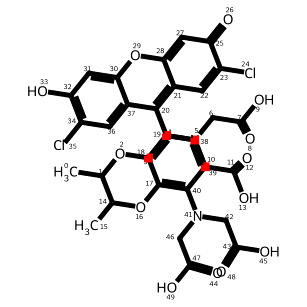 CC(OCCN(CC(=O)O)CC(=O)O)C(C)Oc1cc(-c2c3cc(Cl)c(=O)cc-3oc3cc(O)c(Cl)cc23)ccc1N(CC(=O)O)CC(=O)O